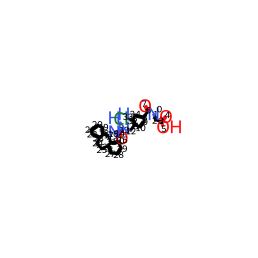 CN(CC(=O)O)C(=O)c1ccc(CNC(=O)NC2c3ccccc3CCc3ccccc32)c(Cl)c1